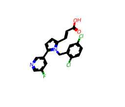 O=C(O)C=Cc1ccc(-c2cncc(F)c2)n1Cc1cc(Cl)ccc1Cl